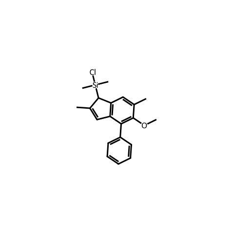 COc1c(C)cc2c(c1-c1ccccc1)C=C(C)C2[Si](C)(C)Cl